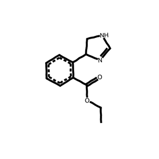 CCOC(=O)c1ccccc1C1CNC=N1